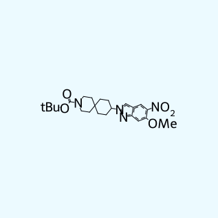 COc1cc2nn(C3CCC4(CC3)CCN(C(=O)OC(C)(C)C)CC4)cc2cc1[N+](=O)[O-]